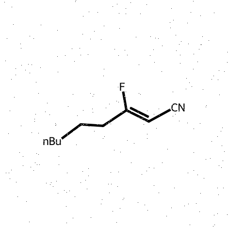 CCCCCCC(F)=CC#N